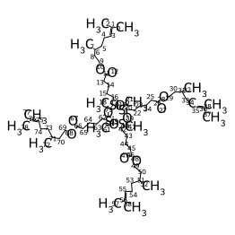 CC(C)=CCCC(C)CCOC(=O)CCCC[Si]1(C)O[Si](C)(CCCCC(=O)OCCC(C)CCC=C(C)C)O[Si](C)(CCCCC(=O)OCCC(C)CCC=C(C)C)O[Si](C)(CCCCC(=O)OCCC(C)CCC=C(C)C)O1